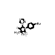 CCCCc1ccc(N2C(=O)C(C)(C)C(=O)C2n2cncn2)cc1